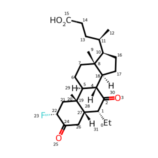 CC[C@H]1C(=O)[C@@H]2[C@H](CC[C@]3(C)[C@@H]([C@H](C)CCC(=O)O)CC[C@@H]23)[C@@]2(C)C[C@@H](F)C(=O)C[C@@H]12